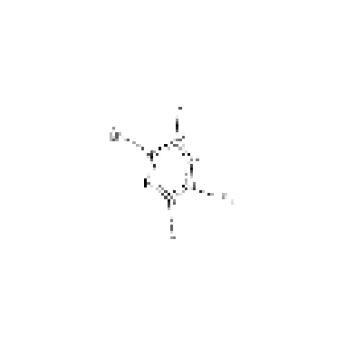 Cc1cc(F)c(I)nc1Br